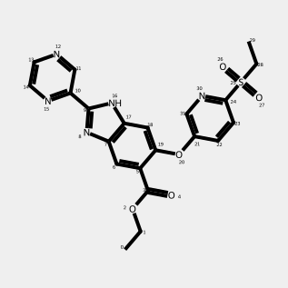 CCOC(=O)c1cc2nc(-c3cnccn3)[nH]c2cc1Oc1ccc(S(=O)(=O)CC)nc1